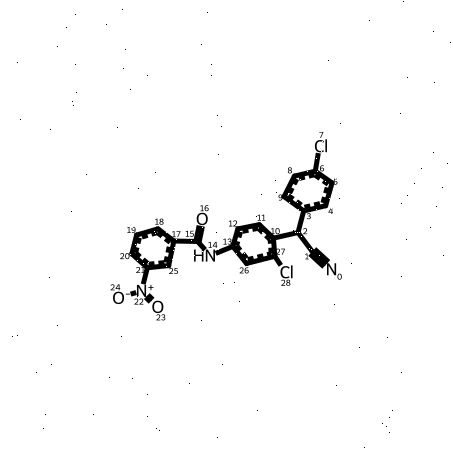 N#CC(c1ccc(Cl)cc1)c1ccc(NC(=O)c2cccc([N+](=O)[O-])c2)cc1Cl